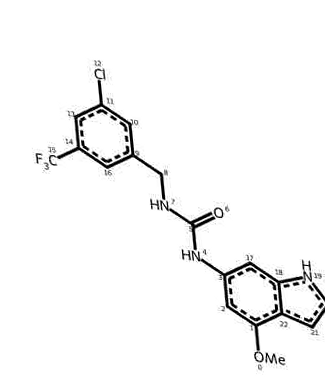 COc1cc(NC(=O)NCc2cc(Cl)cc(C(F)(F)F)c2)cc2[nH]ccc12